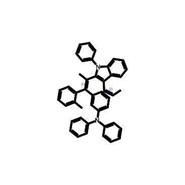 C/C=C\c1c(/C(C)=C(\c2cccc(N(c3ccccc3)c3ccccc3)c2)c2ccccc2C)n(-c2ccccc2)c2ccccc12